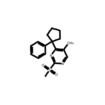 CC(=O)Oc1cnc(S(C)(=O)=O)nc1C1(c2ccccc2)CCCC1